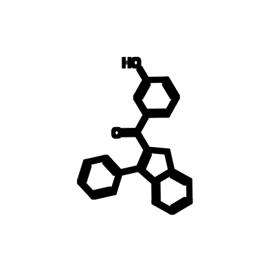 O=C(C1=C(c2ccccc2)c2ccccc2C1)c1cccc(O)c1